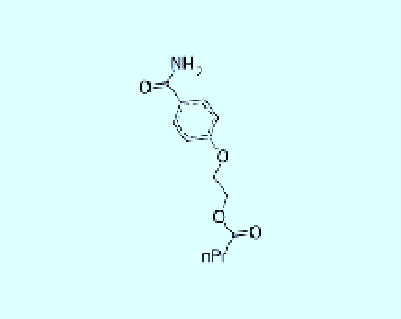 CCCC(=O)OCCOc1ccc(C(N)=O)cc1